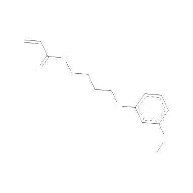 C=CC(=O)NCCCCOc1cccc(OC)c1